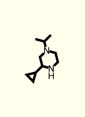 CC(C)N1CCNC(C2CC2)C1